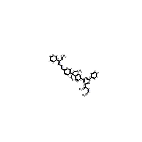 C=C/C(=C\C=C\c1ccc(C(CC)(CC)c2ccc(-c3nc(C(=C)/C=C\C)nc(-c4ccccc4)n3)cc2)cc1)c1ccccc1